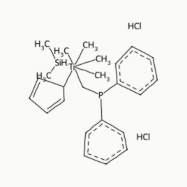 C[SiH](C)[Ti]([CH3])([CH3])([CH3])([CH3])([CH2]P(c1ccccc1)c1ccccc1)[CH]1C=CC=C1.Cl.Cl